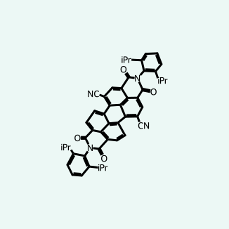 CC(C)c1cccc(C(C)C)c1N1C(=O)c2ccc3c4c(C#N)cc5c6c(cc(C#N)c(c7ccc(c2c37)C1=O)c64)C(=O)N(c1c(C(C)C)cccc1C(C)C)C5=O